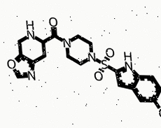 O=C(C1Cc2ncoc2CN1)N1CCN(S(=O)(=O)c2cc3cc(Cl)ccc3[nH]2)CC1